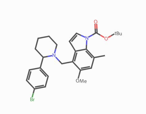 COc1cc(C)c2c(ccn2C(=O)OC(C)(C)C)c1CN1CCCCC1c1ccc(Br)cc1